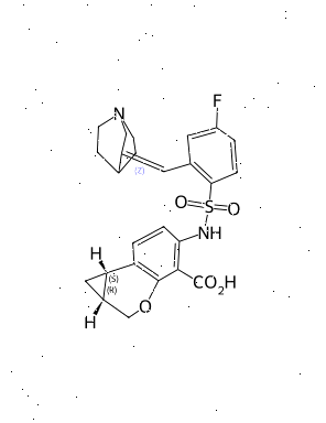 O=C(O)c1c(NS(=O)(=O)c2ccc(F)cc2/C=C2\CN3CCC2CC3)ccc2c1OC[C@@H]1C[C@H]21